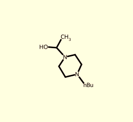 CCCCN1CCN(C(C)O)CC1